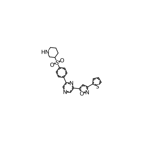 O=S(=O)(c1ccc(-c2cncc(-c3cc(-c4cccs4)no3)n2)cc1)C1CCCNC1